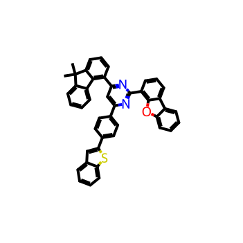 CC1(C)c2ccccc2-c2c(-c3cc(-c4ccc(-c5cc6ccccc6s5)cc4)nc(-c4cccc5c4oc4ccccc45)n3)cccc21